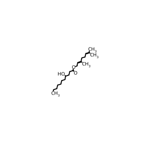 CCCCCCCC(O)CCC(=O)OC/C=C(\C)CCC=C(C)C